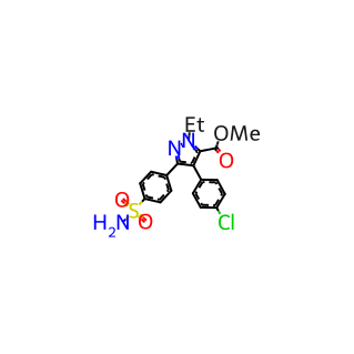 CCn1nc(-c2ccc(S(N)(=O)=O)cc2)c(-c2ccc(Cl)cc2)c1C(=O)OC